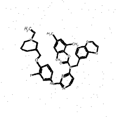 CCN1CCCC(COc2ccc(Nc3nccc(N(Cc4ccc5c(c4)OC=CO5)C(=O)Oc4c(C)cc(C)cc4C)n3)cc2F)C1